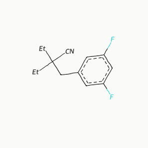 CCC(C#N)(CC)Cc1cc(F)cc(F)c1